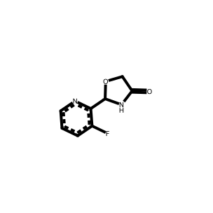 O=C1CO[C](c2ncccc2F)N1